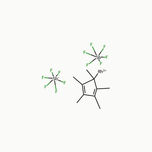 CC1=C(C)[C](C)([Rh+2])C(C)=C1C.[F][Sb-]([F])([F])([F])([F])[F].[F][Sb-]([F])([F])([F])([F])[F]